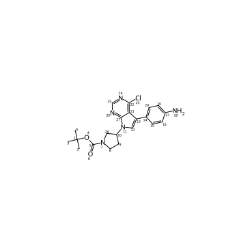 CC(C)(C)OC(=O)N1CCC(n2cc(-c3ccc(N)cc3)c3c(Cl)ncnc32)C1